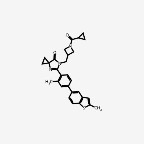 Cc1cc2cc(-c3ccc(C4=NC5(CC5)C(=O)N4CC4CN(C(=O)C5CC5)C4)c(C)c3)ccc2s1